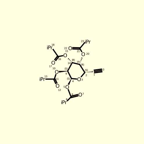 C#C[C@@H]1O[C@@H](OC(=O)C(C)C)[C@@H](OC(=O)C(C)C)[C@H](OC(=O)C(C)C)[C@@H]1OC(=O)C(C)C